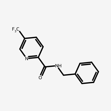 O=C(NCc1ccccc1)c1ccc(C(F)(F)F)cn1